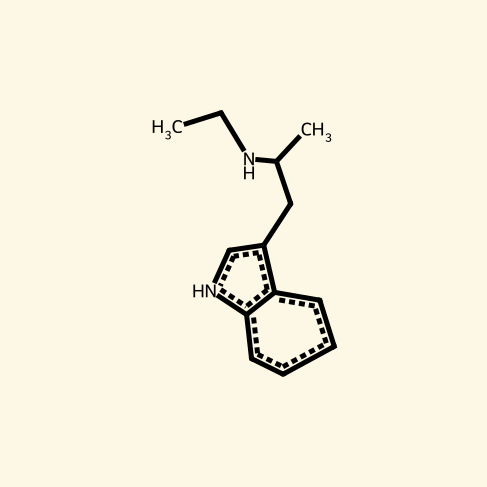 CCNC(C)Cc1c[nH]c2ccccc12